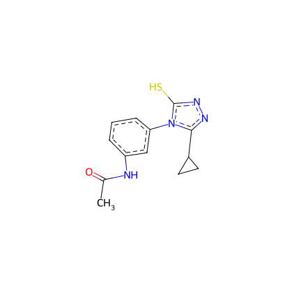 CC(=O)Nc1cccc(-n2c(S)nnc2C2CC2)c1